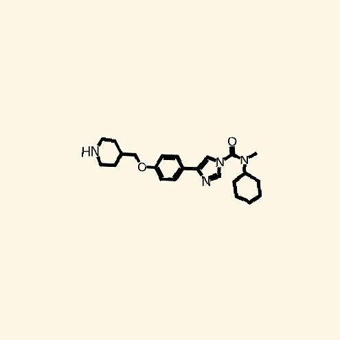 CN(C(=O)n1cnc(-c2ccc(OCC3CCNCC3)cc2)c1)C1CCCCC1